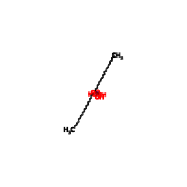 CCCCCCCCCCCCCCCCCCCCCCOCCCCCCCCCCCCCCCCCCCCCC.O=P(O)(O)O